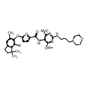 COc1nc(NCCCN2CCOCC2)nc(OC)c1NC(=O)c1ccc(Oc2c(C)cc3c(c2Br)C(C)(C)CC3)o1